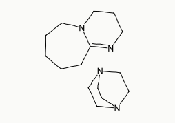 C1CCC2=NCCCN2CC1.C1CN2CCN1CC2